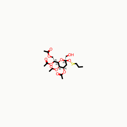 CCCSO[C@@]1(CO)C[C@@H](OC(C)=O)[C@@H](OC(C)=O)[C@@H]([C@@H](COC(C)=O)OC(C)=O)O1